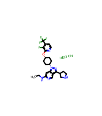 CCNc1cc2c(cn1)c(C1CCNC1)nn2[C@H]1CC[C@@H](Oc2nccc(C(F)(F)F)c2F)CC1.Cl.Cl.Cl